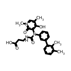 Cc1cccc(-c2cccc(N(C(=O)NCCC(=O)O)c3c(O)c(C)cn(C)c3=O)c2)c1C